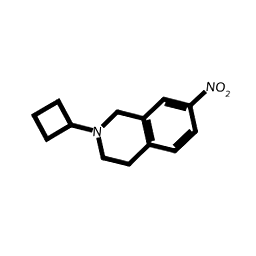 O=[N+]([O-])c1ccc2c(c1)CN(C1CCC1)CC2